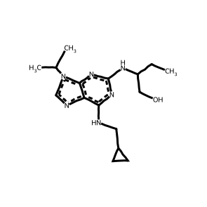 CCC(CO)Nc1nc(NCC2CC2)c2ncn(C(C)C)c2n1